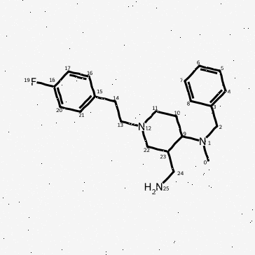 CN(Cc1ccccc1)C1CCN(CCc2ccc(F)cc2)CC1CN